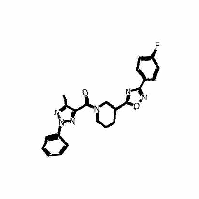 Cc1nn(-c2ccccc2)nc1C(=O)N1CCCC(c2nc(-c3ccc(F)cc3)no2)C1